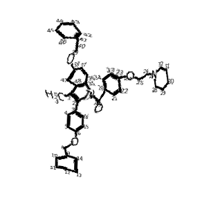 Cc1c(-c2ccc(OCc3ccccc3)cc2)n(C(=O)c2ccc(OCCN3CCCCC3)cc2)c2ccc(OCc3ccccc3)cc12